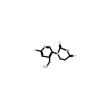 NCc1cc(F)ncc1N1CCC(=O)NC1=O